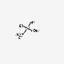 CCCCCCCCCC[N+](CC)(CCC)CCCCCCCCCC.[Cl-]